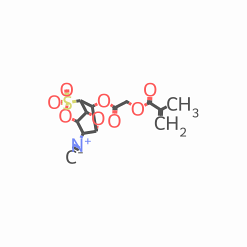 [C-]#[N+]C1C2OC3C1OS(=O)(=O)C3C2OC(=O)COC(=O)C(=C)C